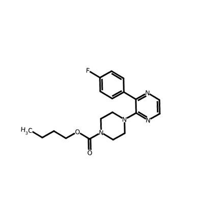 CCCCOC(=O)N1CCN(c2nccnc2-c2ccc(F)cc2)CC1